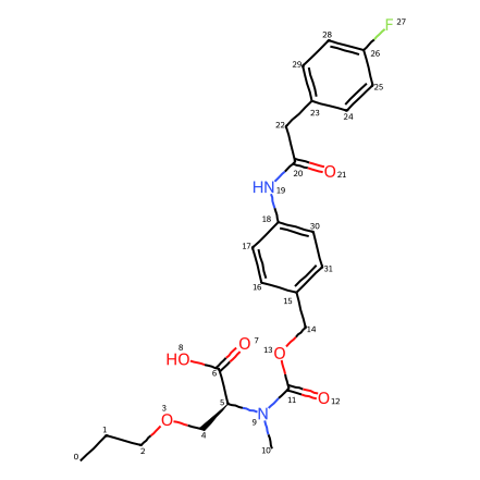 CCCOC[C@@H](C(=O)O)N(C)C(=O)OCc1ccc(NC(=O)Cc2ccc(F)cc2)cc1